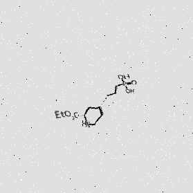 CCOC(=O)[C@@H]1C[C@H](CCCP(=O)(O)O)CCN1